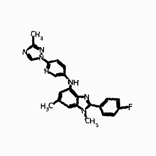 Cc1cc(Nc2ccc(-n3cnc(C)n3)nc2)c2nc(-c3ccc(F)cc3)n(C)c2c1